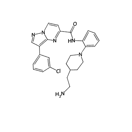 NCCC1CCN(c2ccccc2NC(=O)c2ccn3ncc(-c4cccc(Cl)c4)c3n2)CC1